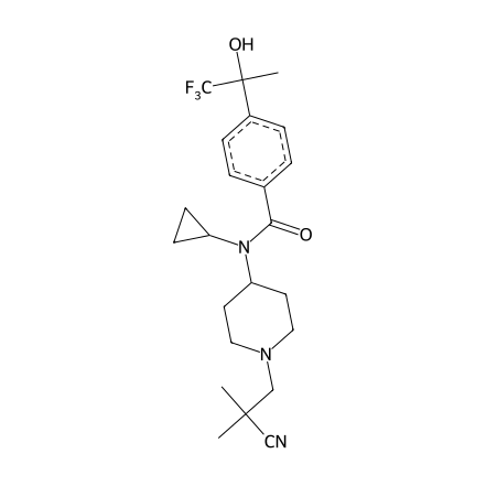 CC(C)(C#N)CN1CCC(N(C(=O)c2ccc(C(C)(O)C(F)(F)F)cc2)C2CC2)CC1